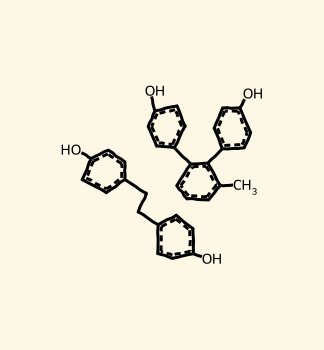 Cc1cccc(-c2ccc(O)cc2)c1-c1ccc(O)cc1.Oc1ccc(CCc2ccc(O)cc2)cc1